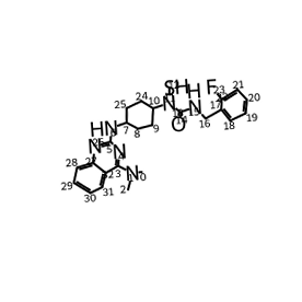 CN(C)c1nc(NC2CCC(N(S)C(=O)NCc3ccccc3F)CC2)nc2ccccc12